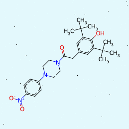 CC(C)(C)c1cc(CC(=O)N2CCN(c3ccc([N+](=O)[O-])cc3)CC2)cc(C(C)(C)C)c1O